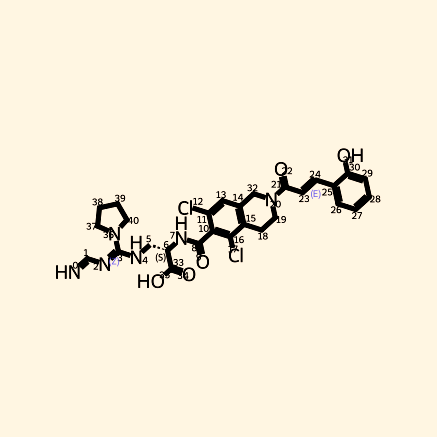 N=C/N=C(/NC[C@H](NC(=O)c1c(Cl)cc2c(c1Cl)CCN(C(=O)/C=C/c1ccccc1O)C2)C(=O)O)N1CCCC1